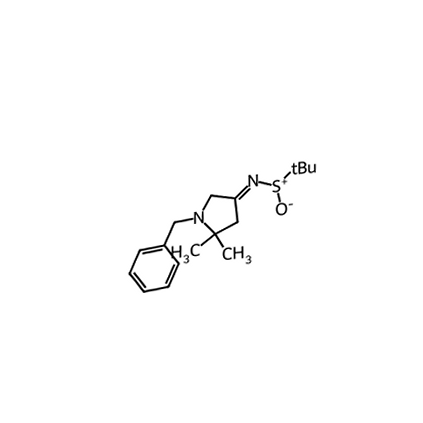 CC1(C)C/C(=N\[S+]([O-])C(C)(C)C)CN1Cc1ccccc1